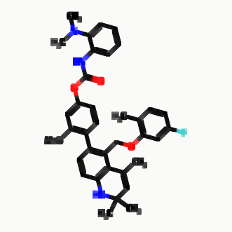 COc1cc(OC(=O)Nc2ccccc2N(C)C)ccc1-c1ccc2c(c1COc1cc(F)ccc1C)C(C)=CC(C)(C)N2